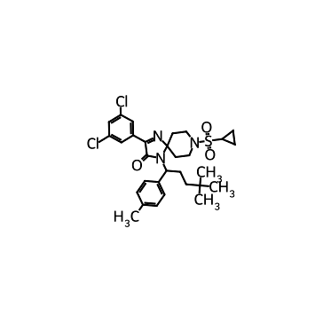 Cc1ccc(C(CCC(C)(C)C)N2C(=O)C(c3cc(Cl)cc(Cl)c3)=NC23CCN(S(=O)(=O)C2CC2)CC3)cc1